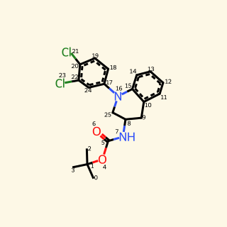 CC(C)(C)OC(=O)NC1Cc2ccccc2N(c2ccc(Cl)c(Cl)c2)C1